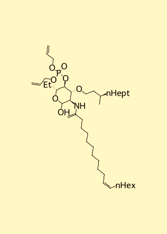 C=CCOP(=O)(OCC=C)O[C@H]1[C@H](OCC[C@H](C)CCCCCCC)[C@@H](NC(=C)CCCCCCCCC/C=C\CCCCCC)C(O)O[C@@H]1CC